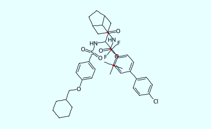 CC(C)(C)OC(=O)NC1CC2CCC(C1)C2C(=O)C(NS(=O)(=O)c1ccc(OCC2CCCCC2)cc1)C(F)(F)c1ccc(-c2ccc(Cl)cc2)cc1